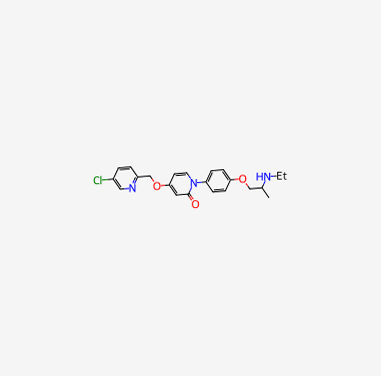 CCNC(C)COc1ccc(-n2ccc(OCc3ccc(Cl)cn3)cc2=O)cc1